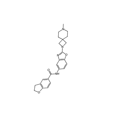 CN1CCC2(CC1)CN(c1nc3cc(NC(=O)c4ccc5c(c4)CCO5)ccc3o1)C2